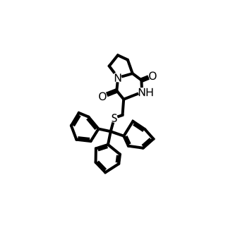 O=C1NC(CSC(c2ccccc2)(c2ccccc2)c2ccccc2)C(=O)N2CCCC12